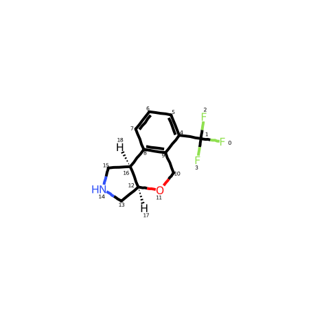 FC(F)(F)c1cccc2c1CO[C@H]1CNC[C@@H]21